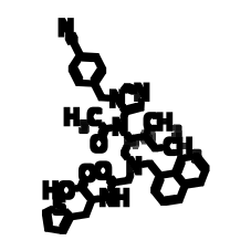 CC[C@H](C)[C@@H](CN(CC(=O)NC(Cc1cccs1)C(=O)O)Cc1cccc2ccccc12)N(C(C)=O)c1cncn1Cc1ccc(C#N)cc1